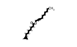 CCCCCCCC#CCOC(=O)CCCCCCC1CC1